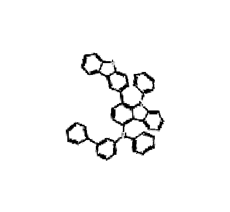 c1ccc(-c2cccc(N(c3ccccc3)c3ccc(-c4ccc5sc6ccccc6c5c4)c4c3c3ccccc3n4-c3ccccc3)c2)cc1